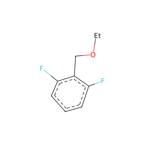 [CH2]COCc1c(F)cccc1F